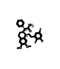 COc1cc2c(cc1OC)[C@H](CCc1cc(F)cc(F)c1F)N([C@@H](C(N)=O)c1ccccc1)CC2